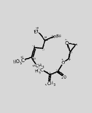 C=C(C)C(=O)OCC1CO1.CCCCC(CC)CC=C(C)C(=O)O